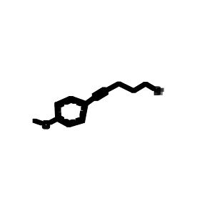 COc1ccc(C#CCCCBr)cc1